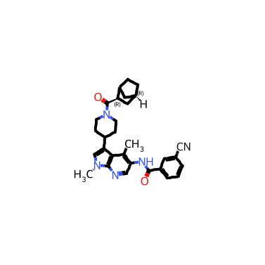 Cc1c(NC(=O)c2cccc(C#N)c2)cnc2c1c(C1CCN(C(=O)[C@@H]3C[C@@H]4CCC3C4)CC1)cn2C